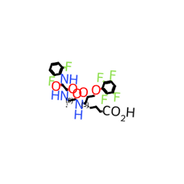 C[C@H](NC(=O)C(=O)Nc1c(F)cccc1F)C(=O)N[C@@H](CCCC(=O)O)C(=O)COc1c(F)c(F)cc(F)c1F